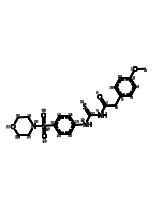 COc1ccc(CC(=O)NC(=S)Nc2ccc(S(=O)(=O)N3CCOCC3)cc2)cc1